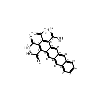 O=C(O)c1c(C(=O)O)c(C(=O)O)c2cc3cc4ccccc4cc3cc2c1C(=O)O